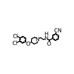 N#Cc1cccc(C(=O)NCCN2CCC(Oc3ccc(Cl)c(Cl)c3)CC2)c1